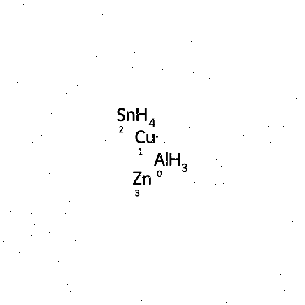 [AlH3].[Cu].[SnH4].[Zn]